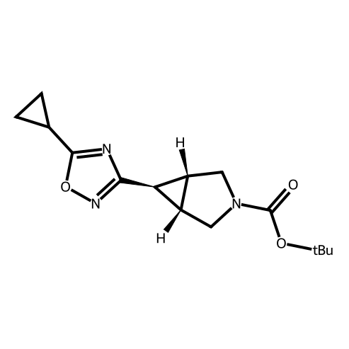 CC(C)(C)OC(=O)N1C[C@@H]2[C@H](C1)[C@H]2c1noc(C2CC2)n1